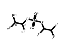 O=S(=O)(OC(F)C(F)F)OC(F)C(F)F